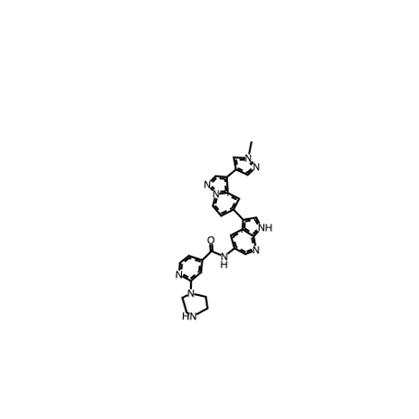 Cn1cc(-c2cnn3ccc(-c4c[nH]c5ncc(NC(=O)c6ccnc(N7CCNCC7)c6)cc45)cc23)cn1